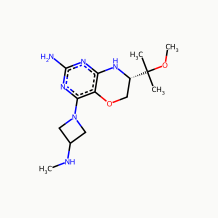 CNC1CN(c2nc(N)nc3c2OC[C@@H](C(C)(C)OC)N3)C1